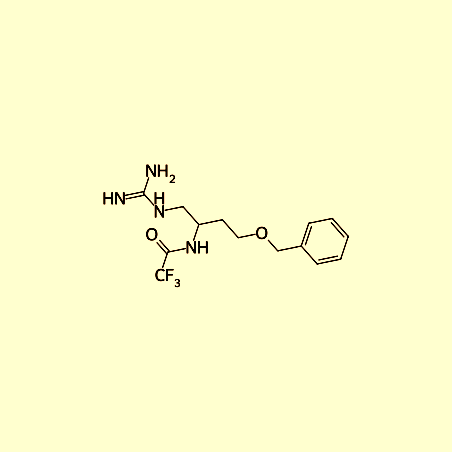 N=C(N)NCC(CCOCc1ccccc1)NC(=O)C(F)(F)F